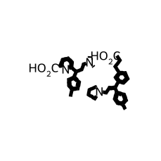 Cc1ccc(/C(=C\CN2CCCC2)c2cccc(CCC(=O)O)c2)cc1.Cc1ccc(C(CCN(C)C)c2cccc(C(=O)O)n2)cc1